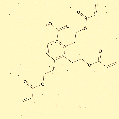 C=CC(=O)OCCc1ccc(C(=O)O)c(CCOC(=O)C=C)c1CCOC(=O)C=C